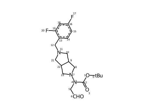 CC(C)(C)OC(=O)N(CC=O)N1CC2CN(Cc3ccc(F)cc3F)CC2C1